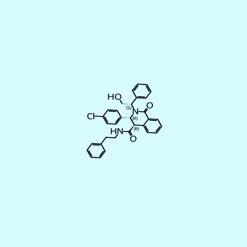 O=C(NCCc1ccccc1)[C@@H]1c2ccccc2C(=O)N([C@H](CO)c2ccccc2)[C@H]1c1ccc(Cl)cc1